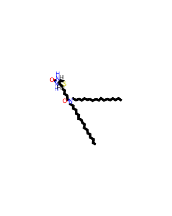 CCCCCCCCCCCCCCCCCCN(CCCCCCCCCCCCCCCCCC)C(=O)CCCC[C@@H]1SC[C@@H]2NC(=O)N[C@@H]21